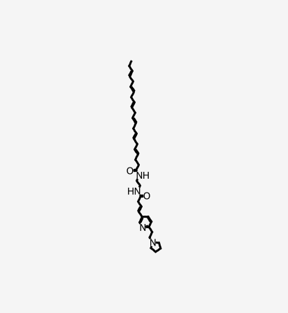 CCC=CCC=CCC=CCC=CCC=CCC=CCCC(=O)NCCNC(=O)CC=Cc1ccc(CCN2CCCC2)nc1